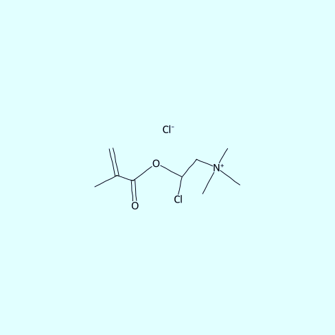 C=C(C)C(=O)OC(Cl)C[N+](C)(C)C.[Cl-]